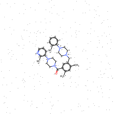 Cc1cc(C)c(C(=O)N2CCN(c3cccnc3C#N)CC2)cc1CN1CCN(c2ccccc2C#N)CC1